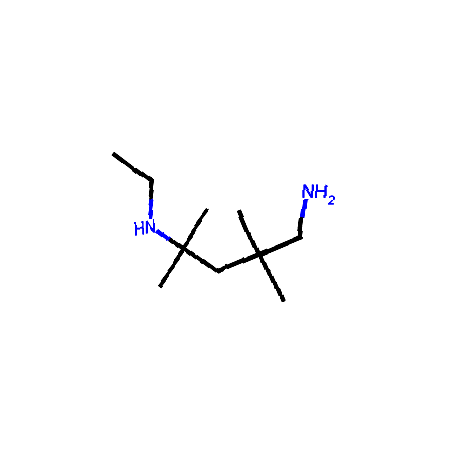 CCNC(C)(C)CC(C)(C)CN